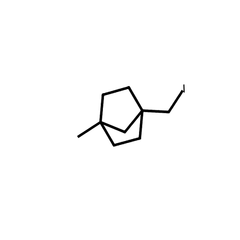 CC12CCC(CI)(CC1)C2